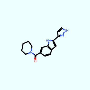 O=C(c1ccc2cc(-c3cc[nH]n3)[nH]c2c1)N1CCCCC1